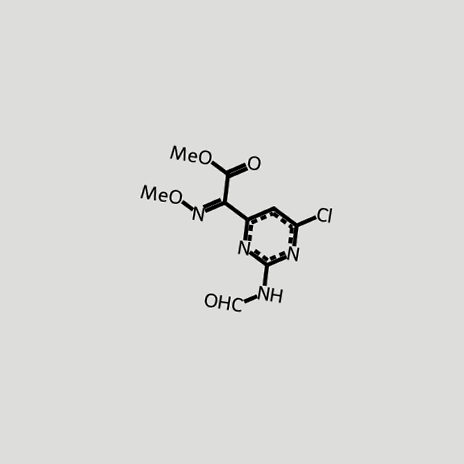 CON=C(C(=O)OC)c1cc(Cl)nc(NC=O)n1